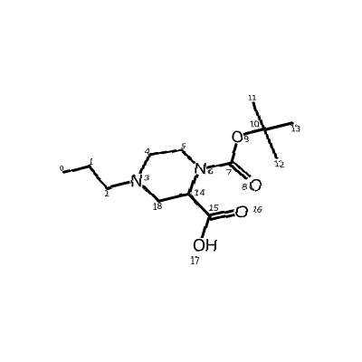 CCCN1CCN(C(=O)OC(C)(C)C)C(C(=O)O)C1